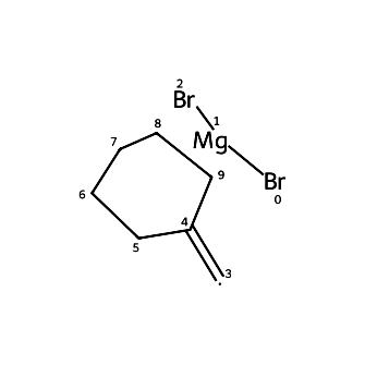 [Br][Mg][Br].[CH]=C1CCCCC1